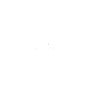 NC(CCc1ccc(F)cc1F)(C(=O)O)C1CC1C(=O)O